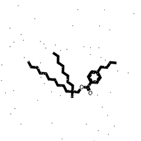 CCCCCCCCCCC(C)(CCCCCCCC)COC(=O)c1ccc(CCCC)cc1